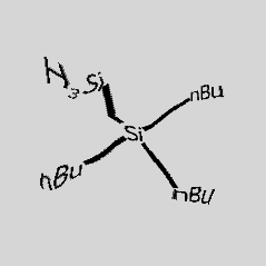 CCCC[Si]([SiH3])(CCCC)CCCC